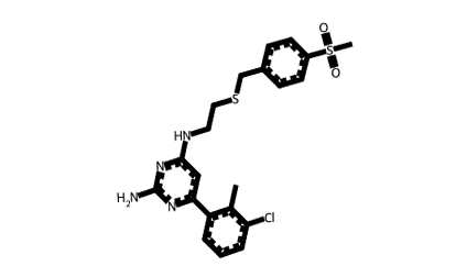 Cc1c(Cl)cccc1-c1cc(NCCSCc2ccc(S(C)(=O)=O)cc2)nc(N)n1